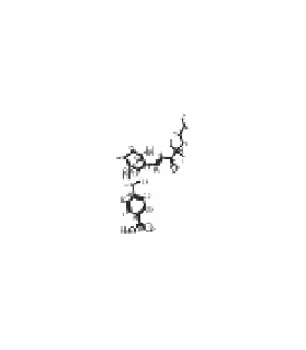 CCCCC(C)(C)C(=O)/C=C/[C@H]1[C@H](CCc2ccc(C(=O)O)cc2)[C@H]2CC[C@@H]1O2